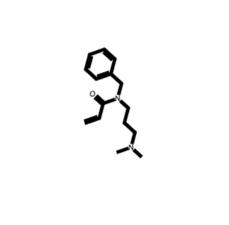 C=CC(=O)N(CCCN(C)C)Cc1ccccc1